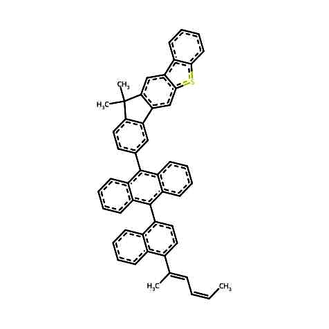 C/C=C\C=C(/C)c1ccc(-c2c3ccccc3c(-c3ccc4c(c3)-c3cc5sc6ccccc6c5cc3C4(C)C)c3ccccc23)c2ccccc12